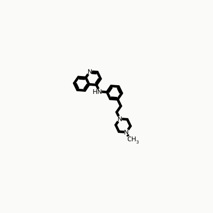 CN1CCN(CCc2cccc(Nc3ccnc4ccccc34)c2)CC1